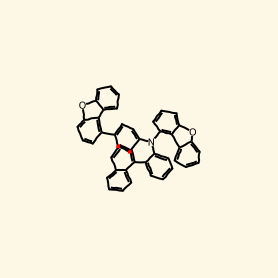 c1ccc(N(c2ccc(-c3cccc4oc5ccccc5c34)cc2)c2cccc3oc4ccccc4c23)c(-c2cccc3ccccc23)c1